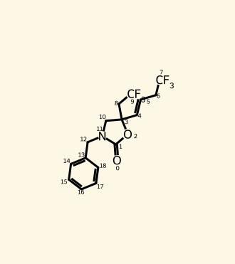 O=C1OC(/C=C/CC(F)(F)F)(CC(F)(F)F)CN1Cc1ccccc1